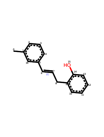 Cc1cccc(/C=C/Cc2ccccc2O)c1